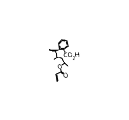 C=CC(=O)OC(C)CC(C)C(=C)c1ccccc1C(=O)O